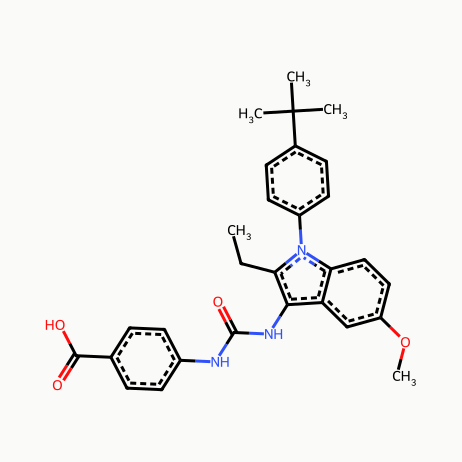 CCc1c(NC(=O)Nc2ccc(C(=O)O)cc2)c2cc(OC)ccc2n1-c1ccc(C(C)(C)C)cc1